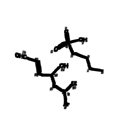 CCCCS(=O)(=O)O.CCN(CC)CC(O)C=CC=O